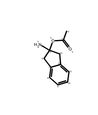 CC(=O)OC1(N)Cc2ccccc2C1